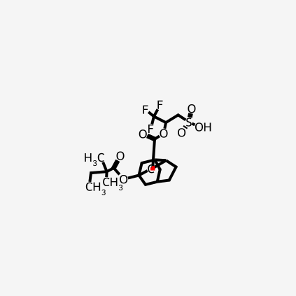 CCC(C)(C)C(=O)OC12CC3CCC(C(C3)C1)C(C(=O)OC(CS(=O)(=O)O)C(F)(F)F)C2